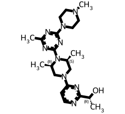 Cc1nc(N2CCN(C)CC2)nc(N2[C@H](C)CN(c3ccnc([C@@H](C)O)n3)C[C@@H]2C)n1